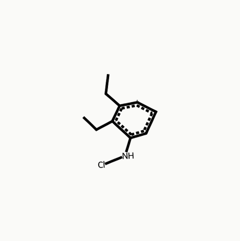 CCc1[c]ccc(NCl)c1CC